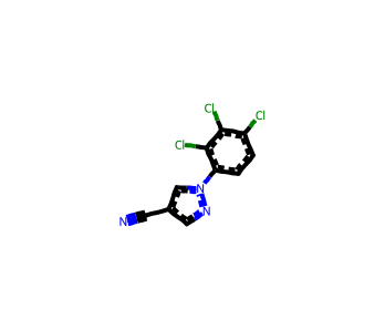 N#Cc1cnn(-c2ccc(Cl)c(Cl)c2Cl)c1